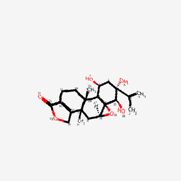 CC(C)[C@]1(O)C[C@H](O)C2[C@]3(O[C@H]3CC3(C)C4=C(CC[C@]23C)C(=O)OC4)[C@@H]1O